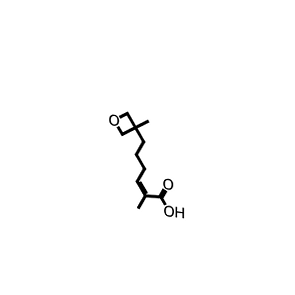 CC(=CCCCC1(C)COC1)C(=O)O